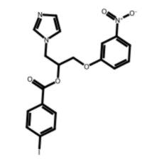 O=C(OC(COc1cccc([N+](=O)[O-])c1)Cn1ccnc1)c1ccc(I)cc1